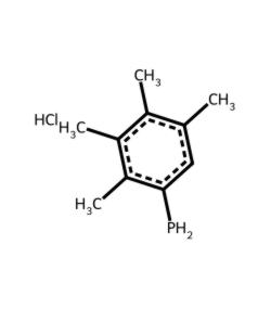 Cc1cc(P)c(C)c(C)c1C.Cl